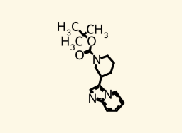 CC(C)(C)OC(=O)N1CCCC(c2cnc3ccccn23)C1